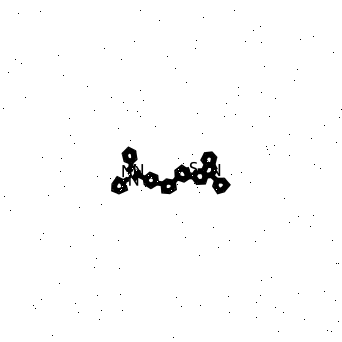 c1ccc(-c2nc(-c3ccccc3)nc(-c3ccc(-c4cccc(-c5ccc6sc7c(ccc8c(-c9ccccc9)nc9ccccc9c87)c6c5)c4)cc3)n2)cc1